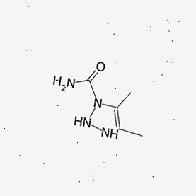 CC1=C(C)N(C(N)=O)NN1